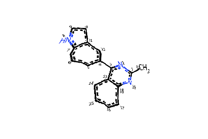 Cc1nc(-c2ccc3[nH]ccc3c2)c2ccccc2n1